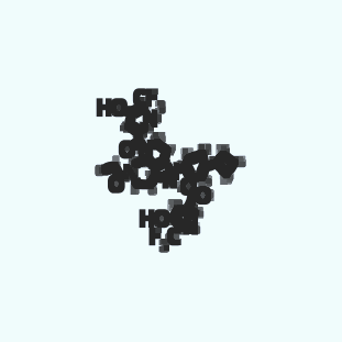 C=CC(=O)N1CCc2nn(-c3ccc(C4CCC4)cc3OC(=O)c3cnc(C(F)(F)F)c(O)c3)c3c2C(C1)N(C(=O)c1cnc(C(F)(F)F)c(O)c1)CC3